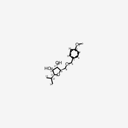 COc1ccc(COC[C@H]2O[C@@H](C(C)C)[C@H](O)[C@@H]2O)cc1